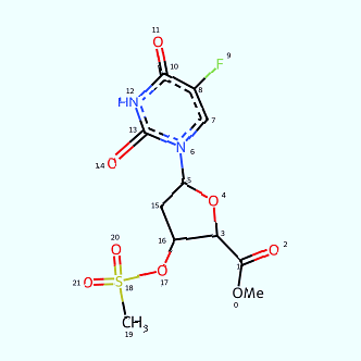 COC(=O)C1OC(n2cc(F)c(=O)[nH]c2=O)CC1OS(C)(=O)=O